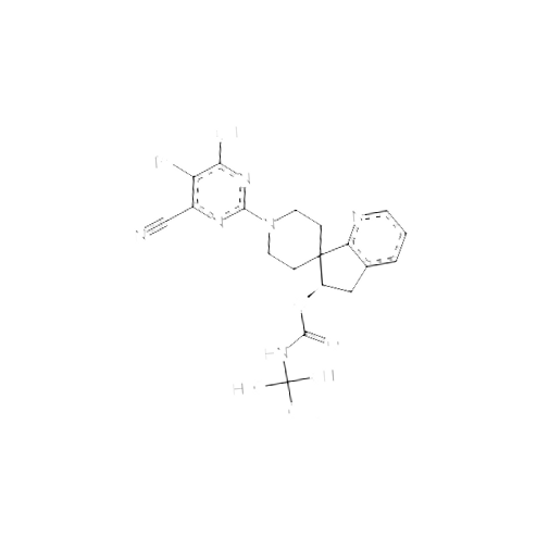 Cc1nc(N2CCC3(CC2)c2ncccc2C[C@H]3OC(=O)NC(C)(C)C)nc(C#N)c1Br